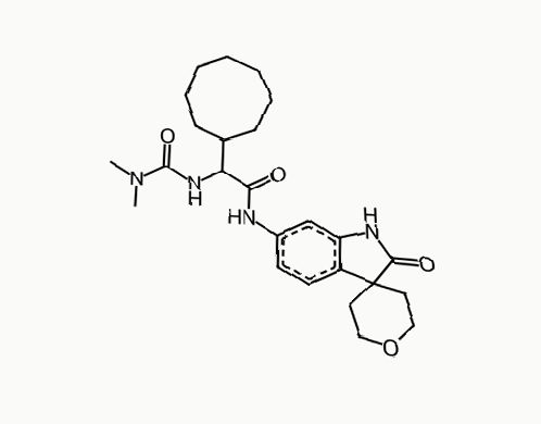 CN(C)C(=O)NC(C(=O)Nc1ccc2c(c1)NC(=O)C21CCOCC1)C1CCCCCCC1